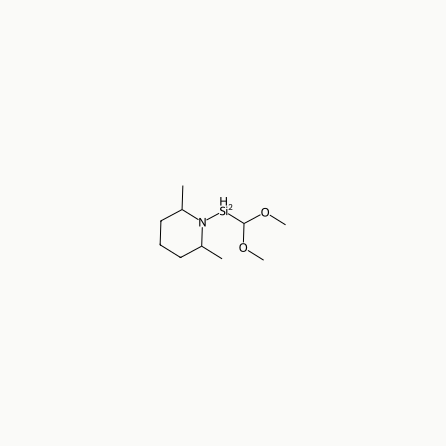 COC(OC)[SiH2]N1C(C)CCCC1C